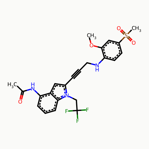 COc1cc(S(C)(=O)=O)ccc1NCC#Cc1cc2c(NC(C)=O)cccc2n1CC(F)(F)F